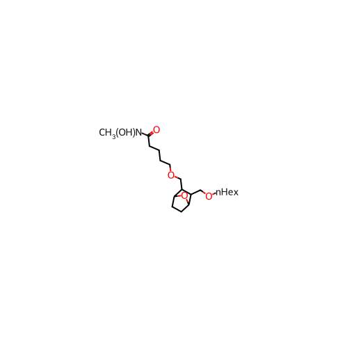 CCCCCCOCC1C2CCC(O2)C1COCCCCC(=O)N(C)O